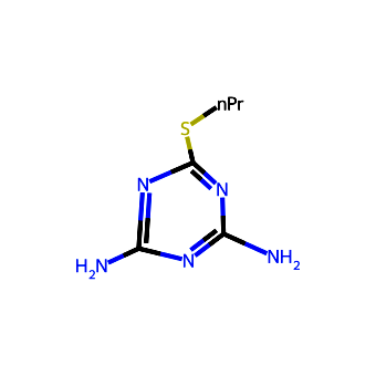 CCCSc1nc(N)nc(N)n1